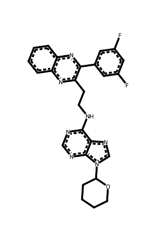 Fc1cc(F)cc(-c2nc3ccccc3nc2CCNc2ncnc3c2ncn3C2CCCCO2)c1